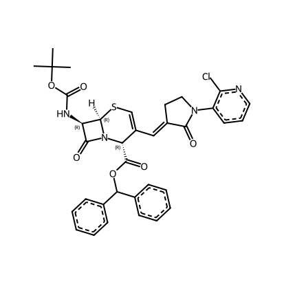 CC(C)(C)OC(=O)N[C@@H]1C(=O)N2[C@@H](C(=O)OC(c3ccccc3)c3ccccc3)C(C=C3CCN(c4cccnc4Cl)C3=O)=CS[C@H]12